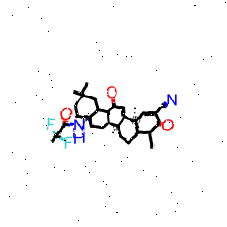 CC1C(=O)C(C#N)=C[C@]2(C)C3=CC(=O)C4C5CC(C)(C)CC[C@]5(NC(=O)C(C)(F)F)CCC4[C@]3(C)CCC12